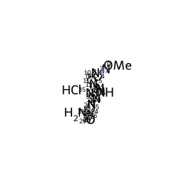 CO/N=C/c1ccc2c(n1)[C@@H](C)CCN2c1n[nH]c2nc(N3CCC4(CC3)CO[C@@H](C)[C@H]4N)cnc12.Cl